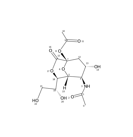 CC(=O)N[C@H]1[C@H]2O[C@@](OC(C)=O)(C[C@@H]1O)C(=O)O[C@@H]2[C@H](O)CO